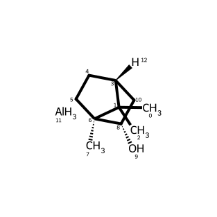 CC1(C)[C@@H]2CC[C@]1(C)[C@@H](O)C2.[AlH3]